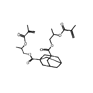 C=C(C)C(=O)OC(C)COC(=O)C12CC3CC(C1)CC(C(=O)OCC(C)OC(=O)C(=C)C)(C3)C2